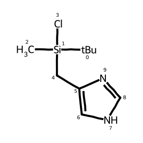 CC(C)(C)[Si](C)(Cl)Cc1c[nH]cn1